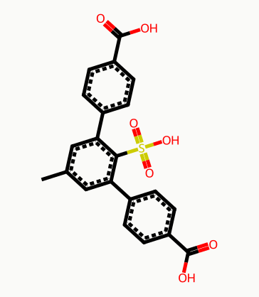 Cc1cc(-c2ccc(C(=O)O)cc2)c(S(=O)(=O)O)c(-c2ccc(C(=O)O)cc2)c1